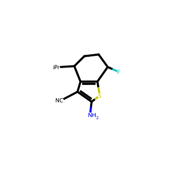 CC(C)C1CCC(F)c2sc(N)c(C#N)c21